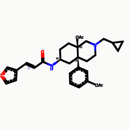 CC(=O)Oc1cccc([C@@]23CCN(CC4CC4)C[C@@]2(OC(C)=O)CC[C@H](NC(=O)/C=C/c2ccoc2)C3)c1